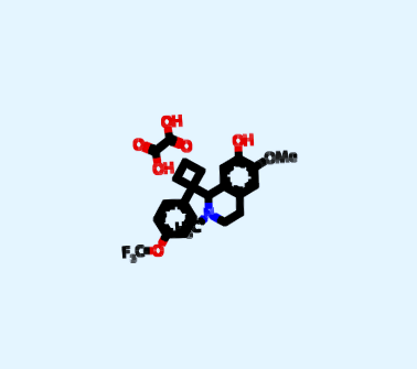 COc1cc2c(cc1O)C(C1(c3ccc(OC(F)(F)F)cc3)CCC1)N(C)CC2.O=C(O)C(=O)O